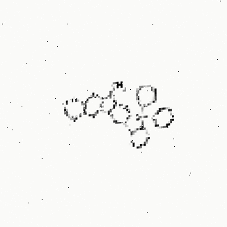 Cn1c2cc3c(cc2c2cc4ccccc4cc21)-c1ccccc1[Si]3(c1ccccc1)c1ccccc1